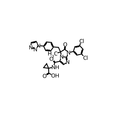 CC1(Cc2ccc(-n3ccnn3)cc2)C(=O)N(c2cc(Cl)cc(Cl)c2)c2ncc(C(=O)NC3(C(=O)O)CC3)n21